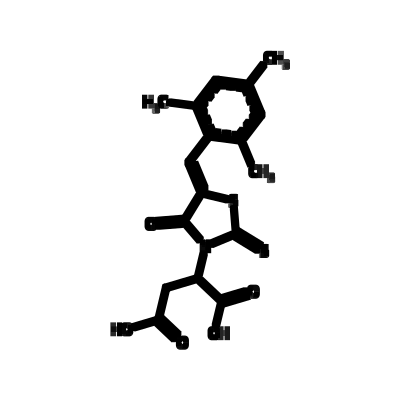 Cc1cc(C)c(C=C2SC(=S)N(C(CC(=O)O)C(=O)O)C2=O)c(C)c1